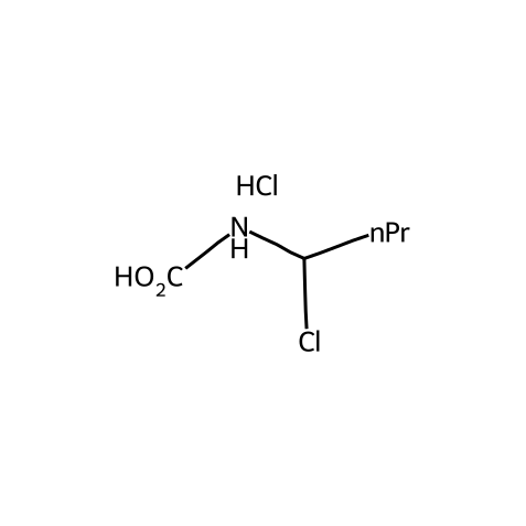 CCCC(Cl)NC(=O)O.Cl